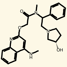 CNc1cc(OCC(=O)N(C)C(CN2CC[C@H](O)C2)c2ccccc2)nc2ccccc12